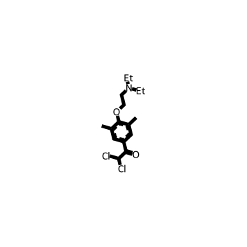 CCN(CC)CCOc1c(C)cc(C(=O)C(Cl)Cl)cc1C